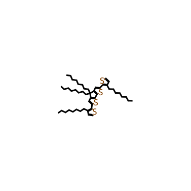 CCCCCCCCc1ccsc1-c1cc2c(s1)-c1sc(-c3sccc3CCCCCCCC)cc1C2(CCCCCCCC)CCCCCCCC